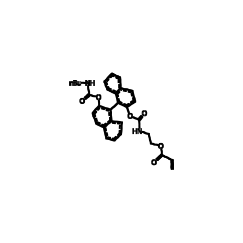 C=CC(=O)OCCNC(=O)Oc1ccc2ccccc2c1-c1c(OC(=O)NCCCC)ccc2ccccc12